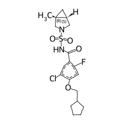 C[C@@]12C[C@@H]1CN(S(=O)(=O)NC(=O)c1cc(Cl)c(OCC3CCCC3)cc1F)C2